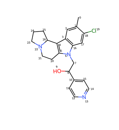 Cc1cc2c3c(n(CC(O)c4ccncc4)c2cc1Cl)CCN1CCCC31